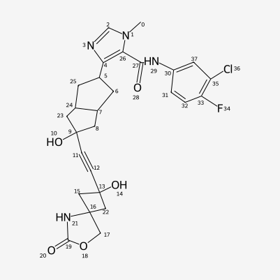 Cn1cnc(C2CC3CC(O)(C#CC4(O)CC5(COC(=O)N5)C4)CC3C2)c1C(=O)Nc1ccc(F)c(Cl)c1